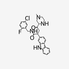 CN1CCNC(C(=O)CC(C(=O)NCc2cc(Cl)ccc2F)c2ccc3c(c2)[nH]c2ccccc23)C1